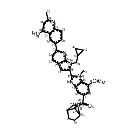 COc1cc(C(=O)N2CC3CCC2[C@@H]3N)cc2nc(-c3cc4ccc(-c5ccc6nc(C)cc(O)c6c5)nc4n3CC3CC3)n(C)c12